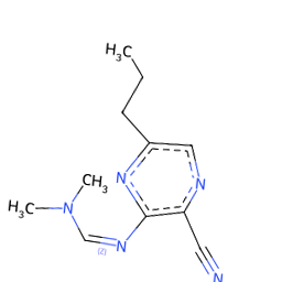 CCCc1cnc(C#N)c(/N=C\N(C)C)n1